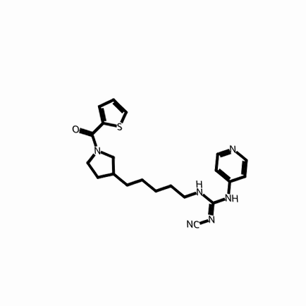 N#CN=C(NCCCCCC1CCN(C(=O)c2cccs2)C1)Nc1ccncc1